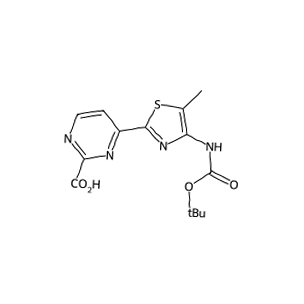 Cc1sc(-c2ccnc(C(=O)O)n2)nc1NC(=O)OC(C)(C)C